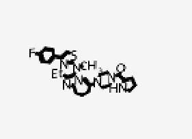 CCc1nc2n(c1N(C)c1nc(-c3ccc(F)cc3)cs1)C=C(N1CCN(C(=O)C3CCCN3)CC1)CCC2